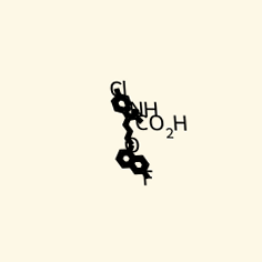 O=C(O)c1[nH]c2cc(Cl)ccc2c1CCCOc1cccc2cc(F)ccc12